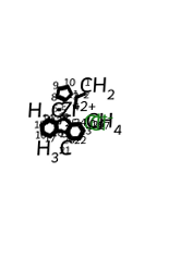 C.C=CC[CH2][Zr+2]([CH3])([C]1=CC=CC1)[CH]1c2ccccc2-c2c(C)cccc21.[Cl-].[Cl-]